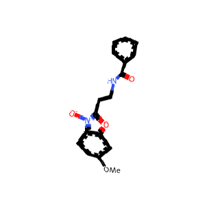 COc1ccc2c(c1)oc(CCNC(=O)c1ccccc1)[n+]2[O-]